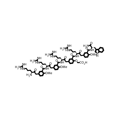 COc1ccc(CC(=O)[C@H](CCCNC(=N)N)NC(=O)c2cc(CC(=O)[C@H](CCCNC(=N)N)NC(=O)c3cc(CC(=O)[C@H](CCCNC(=N)N)NC(=O)c4cc(CC(=O)[C@@H](N)CCCNC(=N)N)ccc4OC)ccc3OC)ccc2OCC(=O)O)cc1C(=O)N[C@@H](Cc1c[nH]c2ccccc12)C(N)=O